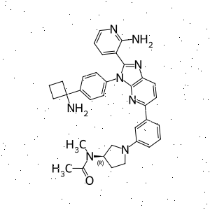 CC(=O)N(C)[C@@H]1CCN(c2cccc(-c3ccc4nc(-c5cccnc5N)n(-c5ccc(C6(N)CCC6)cc5)c4n3)c2)C1